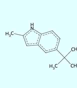 Cc1cc2cc(C(C)(C)C)ccc2[nH]1